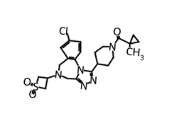 CC1(C(=O)N2CCC(c3nnc4n3-c3ccc(Cl)cc3CN(C3CS(=O)(=O)C3)C4)CC2)CC1